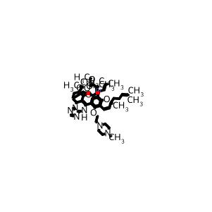 COC(=O)/C(C)=C\CC12OC(C)(C)C3CC(C1=O)C1C4=C(Nc5ncnn51)c1c(OCCN5CCN(C)CC5)c5c(c(CC=C(C)C)c1OC432)OC(C)(CCC=C(C)C)C=C5